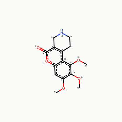 COc1cc2oc(=O)c3c(c2c(OC)c1OC)CCNC3